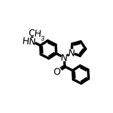 CNc1ccc(N(C(=O)c2ccccc2)n2cccc2)cc1